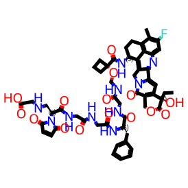 CC[C@@]1(O)C(=O)OCc2c1cc1n(c2=O)Cc2c-1nc1cc(F)c(C)c3c1c2[C@@H](NC(=O)C1(OCNC(=O)CNC(=O)[C@H](Cc2ccccc2)NC(=O)CNC(=O)CNC(=O)[C@H](CNCC(=O)O)N2C(=O)C=CC2=O)CCC1)CC3